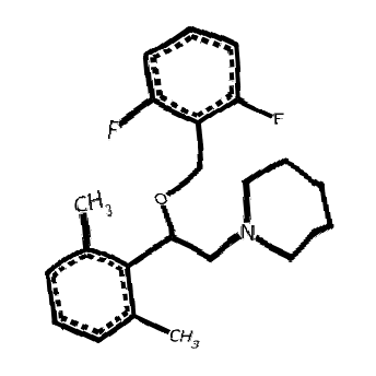 Cc1cccc(C)c1C(CN1CCCCC1)OCc1c(F)cccc1F